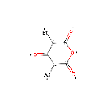 CCC1C(=O)OC(=O)C(C(C)=O)C1=O